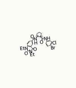 CCn1c(=O)c2cc(C(=O)N[C@H]3CCC[C@H]3C(=O)Nc3ccc(Br)c(Cl)c3)ccc2n(CC)c1=O